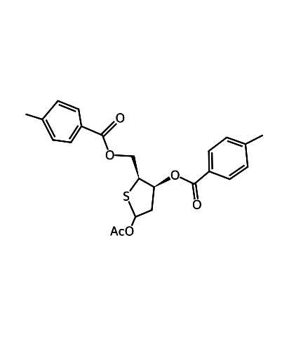 CC(=O)OC1C[C@H](OC(=O)c2ccc(C)cc2)[C@H](COC(=O)c2ccc(C)cc2)S1